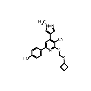 Cn1cc(-c2cc(-c3ccc(O)cc3)nc(SCSC3CCC3)c2C#N)cn1